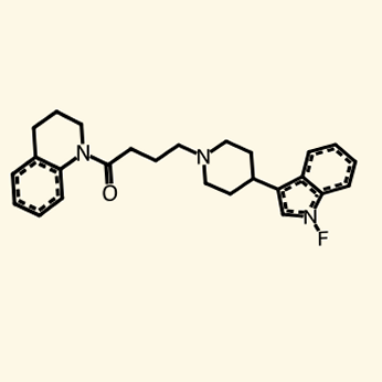 O=C(CCCN1CCC(c2cn(F)c3ccccc23)CC1)N1CCCc2ccccc21